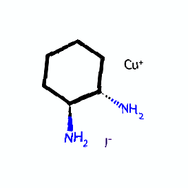 N[C@H]1CCCC[C@@H]1N.[Cu+].[I-]